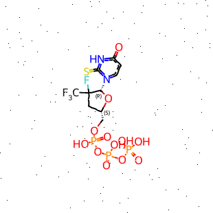 O=c1ccn([C@@H]2O[C@H](COP(=O)(O)OP(=O)(O)OP(=O)(O)O)CC2(F)C(F)(F)F)c(=S)[nH]1